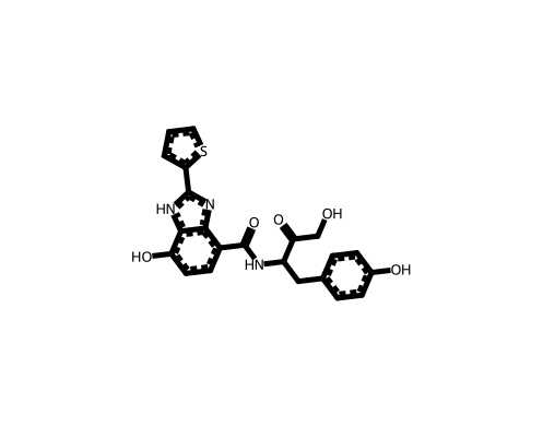 O=C(NC(Cc1ccc(O)cc1)C(=O)CO)c1ccc(O)c2[nH]c(-c3cccs3)nc12